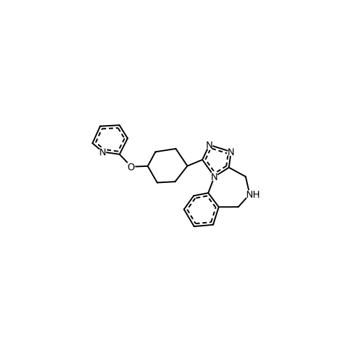 c1ccc(OC2CCC(c3nnc4n3-c3ccccc3CNC4)CC2)nc1